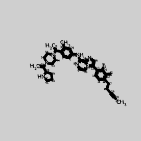 C=C(c1ccc(Nc2nccn3c(-c4ccc(CCC#CC)c(F)c4F)cnc23)cc1C)N1CCN(C(=C)C2CCCN2)CC1